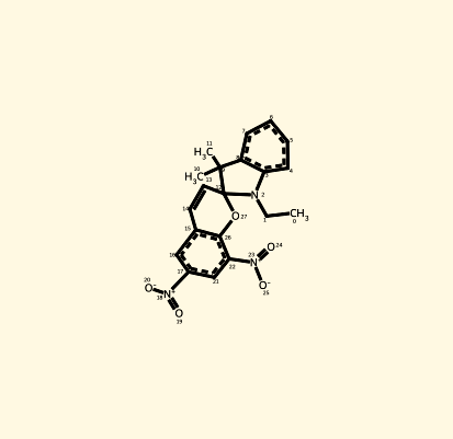 CCN1c2ccccc2C(C)(C)C12C=Cc1cc([N+](=O)[O-])cc([N+](=O)[O-])c1O2